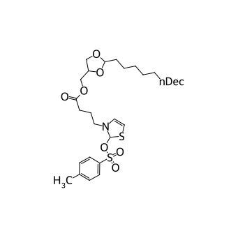 CCCCCCCCCCCCCCCC1OCC(COC(=O)CCCN2C=CSC2OS(=O)(=O)c2ccc(C)cc2)O1